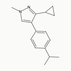 CC(C)c1ccc(-c2cn(C)nc2C2CC2)cc1